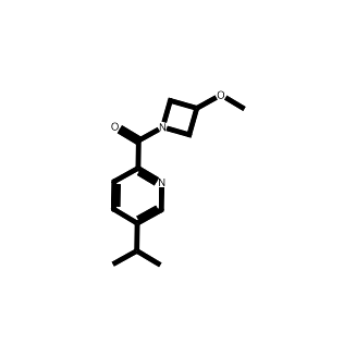 COC1CN(C(=O)c2ccc(C(C)C)cn2)C1